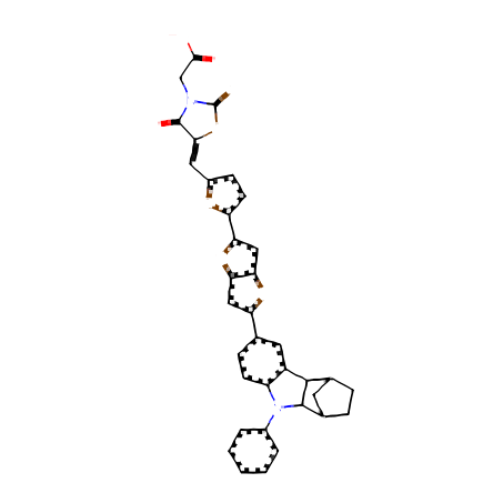 O=C(O)CN1C(=O)/C(=C/c2ccc(-c3cc4sc(-c5ccc6c(c5)C5C7CCC(C7)C5N6c5ccccc5)cc4s3)s2)SC1=S